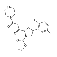 CC(C)(C)OC(=O)N1CC(c2cc(F)ccc2F)CC1C(=O)CC(=O)N1CCOCC1